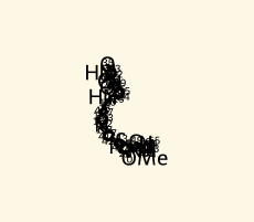 COc1cc2nc([C@H]3CC[C@H](CN4CCC5(CC4)CC(CCNc4cccc6c4C(=O)N(C4CCC(=O)NC4=O)C6)C5)CC3)sc2cc1NC(=O)c1cccc(C)n1